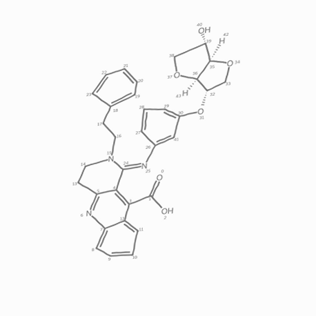 O=C(O)c1c2c(nc3ccccc13)CCN(CCc1ccccc1)/C2=N\c1cccc(O[C@H]2CO[C@H]3[C@@H]2OC[C@@H]3O)c1